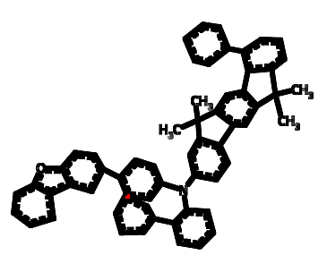 CC1(C)c2cc(N(c3ccc(-c4ccc5oc6ccccc6c5c4)cc3)c3ccccc3-c3ccccc3)ccc2-c2cc3c(cc21)-c1c(-c2ccccc2)cccc1C3(C)C